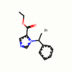 CCOC(=O)c1cncn1C(C)c1ccccc1.[Zn]